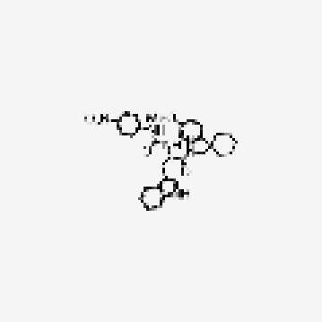 COc1ccc(C2(CNC(=O)C(Cc3c[nH]c4ccccc34)NC(=O)Nc3ccc([N+](=O)[O-])cc3)CCCCC2)cc1